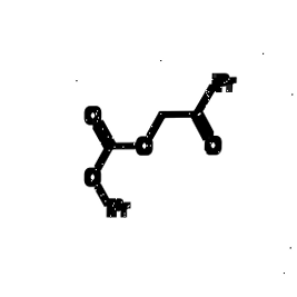 CC(C)OC(=O)OCC(=O)C(C)C